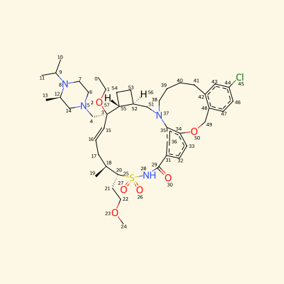 CCO[C@]1(CN2CCN(C(C)C)[C@H](C)C2)/C=C/C[C@H](C)[C@@H](CCOC)S(=O)(=O)NC(=O)c2ccc3c(c2)N(CCCCc2cc(Cl)ccc2CO3)C[C@@H]2CC[C@H]21